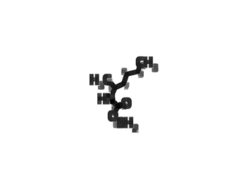 BOC(=O)NC(C)CCCC